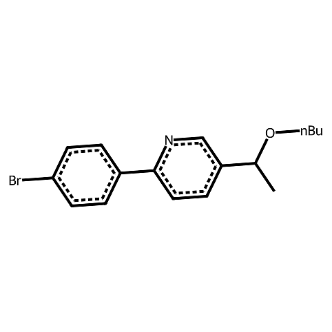 CCCCOC(C)c1ccc(-c2ccc(Br)cc2)nc1